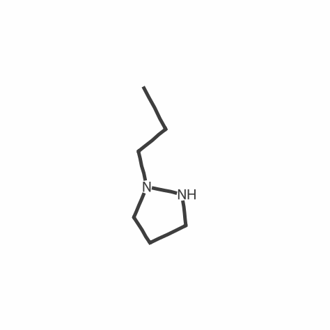 CCCN1CCCN1